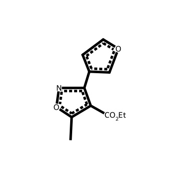 CCOC(=O)c1c(-c2ccoc2)noc1C